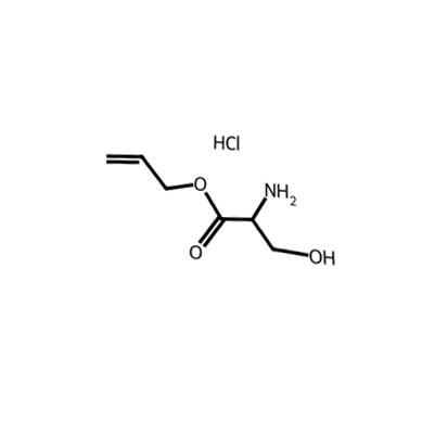 C=CCOC(=O)C(N)CO.Cl